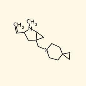 C=CC1CC2(CN3CCC4(CC3)CC4)CC2N1C